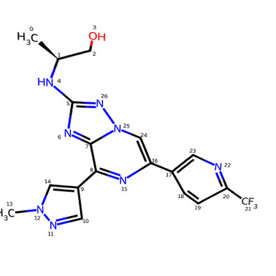 C[C@@H](CO)Nc1nc2c(-c3cnn(C)c3)nc(-c3ccc(C(F)(F)F)nc3)cn2n1